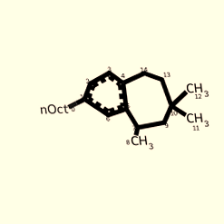 CCCCCCCCc1ccc2c(c1)C(C)CC(C)(C)CC2